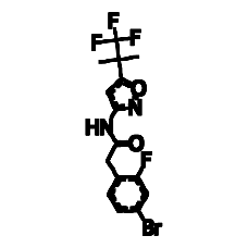 CC(C)(c1cc(NC(=O)Cc2ccc(Br)cc2F)no1)C(F)(F)F